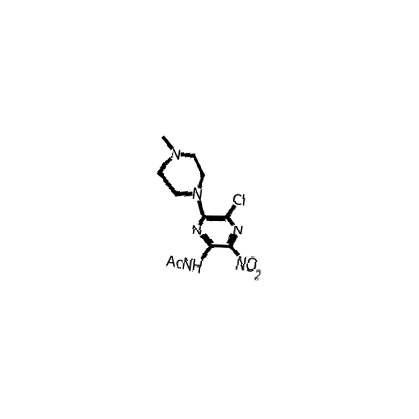 CC(=O)Nc1nc(N2CCN(C)CC2)c(Cl)nc1[N+](=O)[O-]